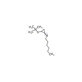 CCCCCC/N=C1/CC1S[Si](C)(C)C